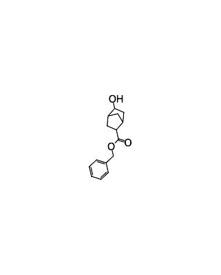 O=C(OCc1ccccc1)C1CC2CC1CC2O